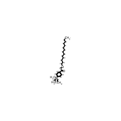 [CH2]CCCCCCCCCCCCCOOC(=O)c1ccc([Si](C)(C=C)C=C)cc1